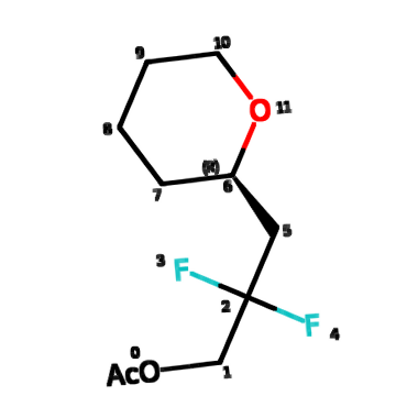 CC(=O)OCC(F)(F)C[C@H]1CCCCO1